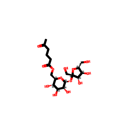 CC(=O)CCCC(=O)OC[C@H]1O[C@H](O[C@]2(CO)O[C@H](CO)[C@@H](O)[C@@H]2O)[C@H](O)[C@@H](O)[C@@H]1O